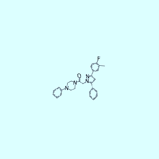 Cc1cc(-c2cc(-c3ccccc3)n(CC(=O)N3CCN(c4ccccc4)CC3)n2)ccc1F